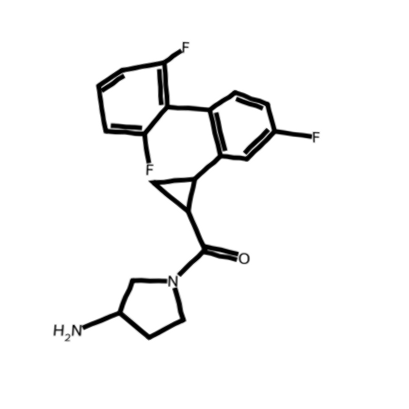 NC1CCN(C(=O)C2CC2c2cc(F)ccc2-c2c(F)cccc2F)C1